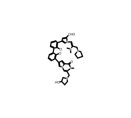 CN(C)/C(=C\n1cc(-c2cccc(-c3cccc(-c4cc5c(=O)n(C)c(CN6CCC(O)C6)cn5c4)c3Cl)c2Cl)cc1C=O)CN1CCCC1